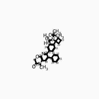 CN1C(=O)COc2nc(-c3ccc(C4(N(C(=O)O)C(C)(C)C)CCC4)cc3)c(-c3ccccc3)cc21